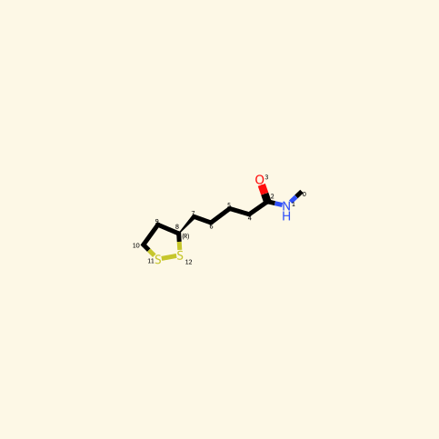 CNC(=O)CCCC[C@@H]1CCSS1